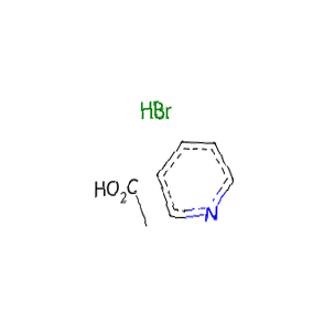 Br.CC(=O)O.c1ccncc1